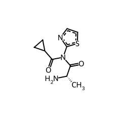 C[C@H](N)C(=O)N(C(=O)C1CC1)c1nccs1